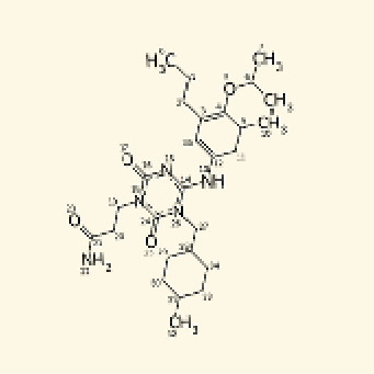 CCCC1=C(OC(C)C)C(C)CC(Nc2nc(=O)n(CCC(N)=O)c(=O)n2CC2CCC(C)CC2)=C1